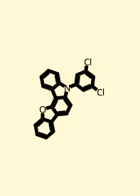 Clc1cc(Cl)cc(-n2c3ccccc3c3c4oc5ccccc5c4ccc32)c1